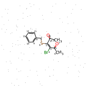 CC(=O)/C(Br)=C(/SCc1ccccc1)C(C)=O